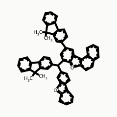 CC1(C)c2ccccc2-c2ccc(-c3cc(C(c4ccc5c(c4)C(C)(C)c4ccccc4-5)c4ccc5c(c4)oc4ccccc45)c4oc5ccc6ccccc6c5c4c3)cc21